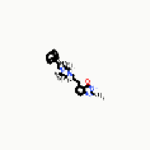 [2H]C1([2H])N(CCCc2cccc3nc(C)[nH]c(=O)c23)C([2H])([2H])C([2H])([2H])N(CCC23CC4CC(CC(C4)C2)C3)C1([2H])[2H]